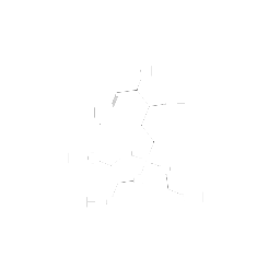 C=CC(C)C(C)CC[Si](OCC)(OCC)OCC